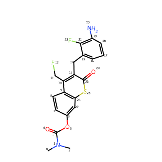 CN(C)C(=O)Oc1ccc2c(CF)c(Cc3cccc(N)c3F)c(=O)sc2c1